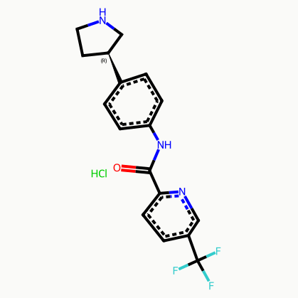 Cl.O=C(Nc1ccc([C@H]2CCNC2)cc1)c1ccc(C(F)(F)F)cn1